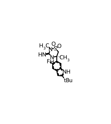 CN1C(=N)N[C@](C)(c2cc3[nH]c(C(C)(C)C)cc3cc2F)CS1(=O)=O